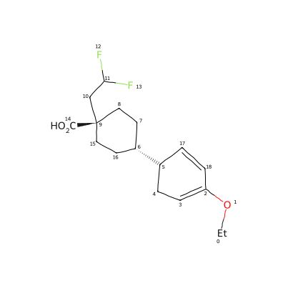 CCOC1=CCC([C@H]2CC[C@](CC(F)F)(C(=O)O)CC2)C=C1